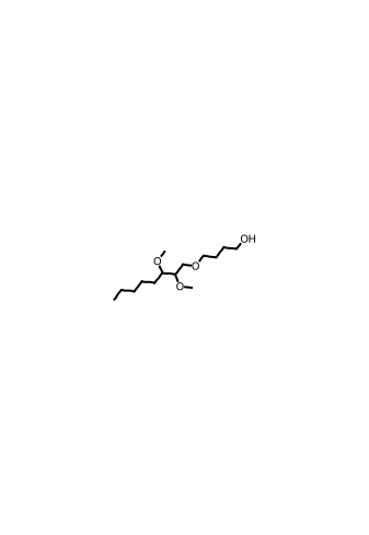 CCCCCC(OC)C(COCCCCO)OC